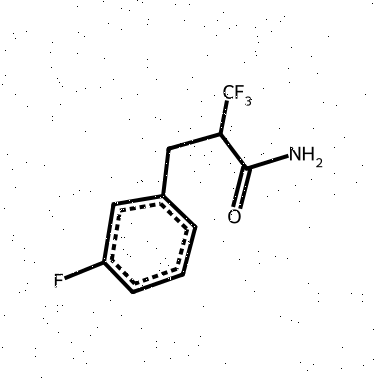 NC(=O)C(Cc1cccc(F)c1)C(F)(F)F